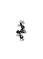 C=CC(=O)Nc1cccc(-c2cc(-c3ccccc3C(=O)Nc3cc(C#N)ccn3)cc3cncnc23)c1